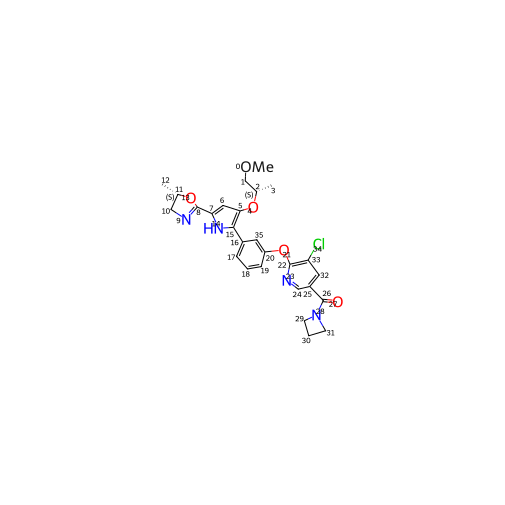 COC[C@H](C)Oc1cc(C2=NC[C@H](C)O2)[nH]c1-c1cccc(Oc2ncc(C(=O)N3CCC3)cc2Cl)c1